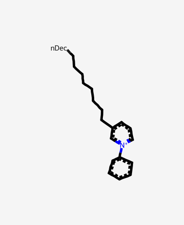 CCCCCCCCCCCCCCCCCCc1ccc[n+](-c2ccccc2)c1